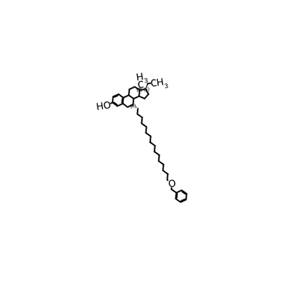 CC[C@H]1CCC2C3C(CC[C@@]21C)c1ccc(O)cc1C[C@H]3CCCCCCCCCCCCCCCCOCc1ccccc1